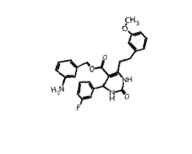 COc1cccc(CCC2=C(C(=O)OCc3cccc(N)c3)C(c3cccc(F)c3)NC(=O)N2)c1